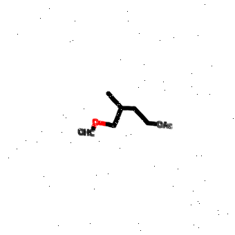 CC(=O)OCCC(C)COC=O